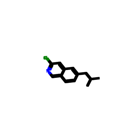 CC(C)Cc1ccc2cnc(Cl)cc2c1